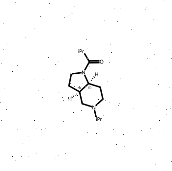 CC(C)C(=O)N1CC[C@@H]2CN(C(C)C)CC[C@@H]21